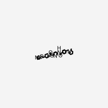 CC1CCCCN1Cc1ccc(C(=O)Nc2ccc(OC(=O)N3CCC(COn4ccnc4)CC3)nc2)cc1